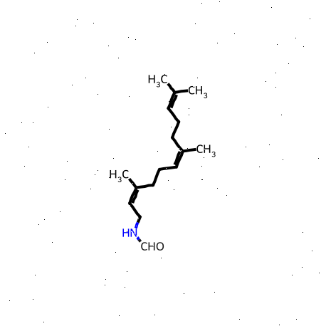 CC(C)=CCCC(C)=CCCC(C)=CCNC=O